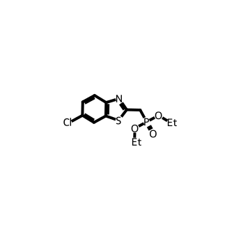 CCOP(=O)(Cc1nc2ccc(Cl)cc2s1)OCC